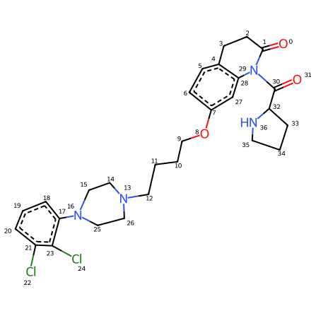 O=C1CCc2ccc(OCCCCN3CCN(c4cccc(Cl)c4Cl)CC3)cc2N1C(=O)C1CCCN1